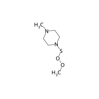 COOSN1CCN(C)CC1